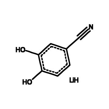 N#Cc1ccc(O)c(O)c1.[LiH]